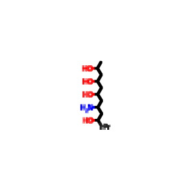 CCCC(O)CC(N)CC(O)CC(O)CC(C)O